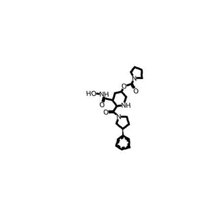 O=C(NO)C1CC(OC(=O)N2CCCC2)CNC1C(=O)N1CC[C@@H](c2ccccc2)C1